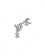 COc1cc2oc(-c3ccc(O)cc3)cc(=O)c2c(O)c1Oc1ccc([C@@H]2CC(=O)c3c(cc(O)c(C)c3O)O2)cc1